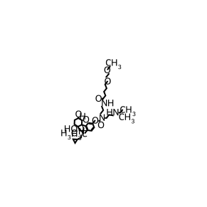 CCOCCOCCCCC(=O)NCCCN(CCCNC(C)C)C(=O)Oc1ccc(C)c2c1O[C@H]1C(=O)CC[C@@]3(O)[C@@H](C)N(CC4CC4)CC[C@]213